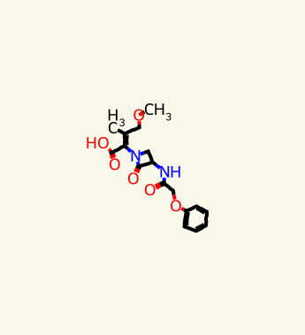 COCC(C)=C(C(=O)O)N1CC(NC(=O)COc2ccccc2)C1=O